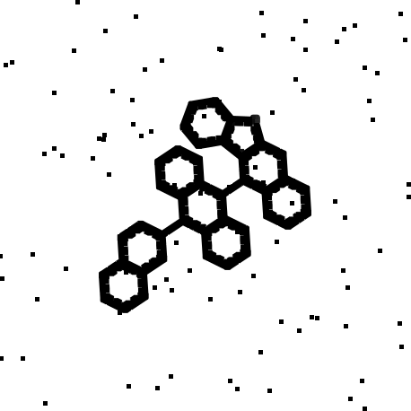 c1ccc2cc(-c3c4ccccc4c(-c4c5ccccc5cc5oc6ccccc6c45)c4ccccc34)ccc2c1